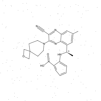 Cc1cc([C@@H](C)Nc2ccccc2C(=O)O)c2nc(N3CCC4(CC3)COC4)c(C#N)nc2c1